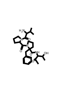 CC(=O)C(NC(=O)C1(Cc2ccccc2)CCCN1C(=O)C1CCCN1C(=O)C(N)C(C)C)C(C)O